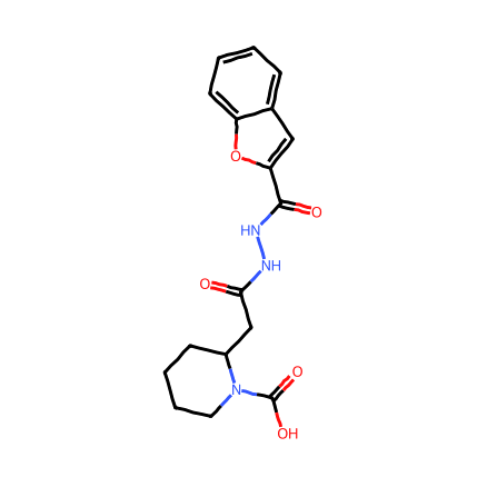 O=C(CC1CCCCN1C(=O)O)NNC(=O)c1cc2ccccc2o1